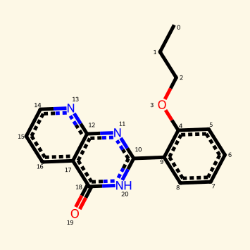 CCCOc1ccccc1-c1nc2ncccc2c(=O)[nH]1